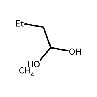 C.CCCC(O)O